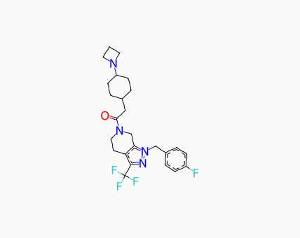 O=C(CC1CCC(N2CCC2)CC1)N1CCc2c(C(F)(F)F)nn(Cc3ccc(F)cc3)c2C1